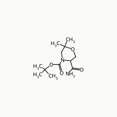 CC(C)(C)OC(=O)N1CC(C)(C)OCC1C(N)=O